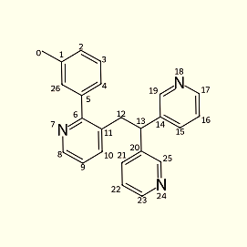 Cc1cccc(-c2ncccc2CC(c2cccnc2)c2cccnc2)c1